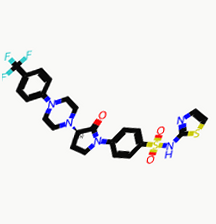 O=C1[C@@H](N2CCN(c3ccc(C(F)(F)F)cc3)CC2)CCN1c1ccc(S(=O)(=O)Nc2nccs2)cc1